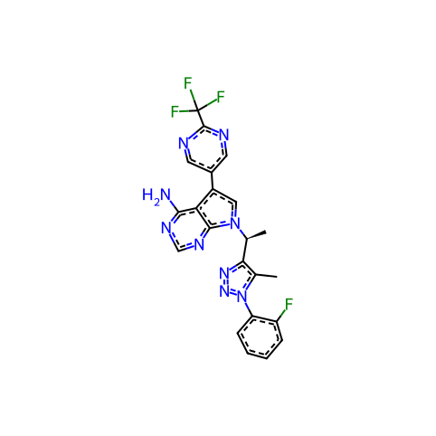 Cc1c([C@H](C)n2cc(-c3cnc(C(F)(F)F)nc3)c3c(N)ncnc32)nnn1-c1ccccc1F